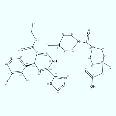 CCOC(=O)C1=C(CN2CCN(C(=O)N3CCC(C)(CC(=O)O)CC3)CC2)NC(c2nccs2)=N[C@H]1c1cccc(F)c1C